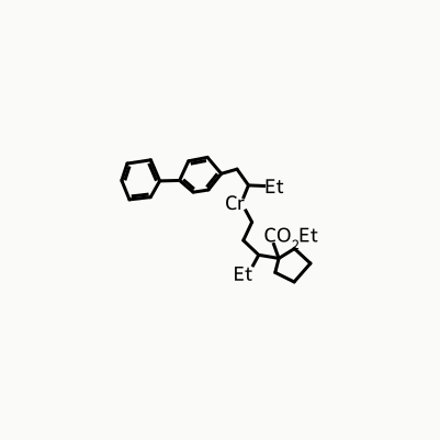 CCOC(=O)C1(C(CC)C[CH2][Cr][CH](CC)Cc2ccc(-c3ccccc3)cc2)CCCC1